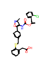 Cc1noc(-c2ccc(CSc3ccccc3CC(=O)O)cc2)c1NC(=O)OC(C)c1ccccc1Cl